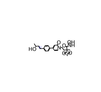 CC(O)/C=C/c1ccc(-c2ccn(CCC(C)(C(=O)NO)S(C)(=O)=O)c(=O)c2)cc1